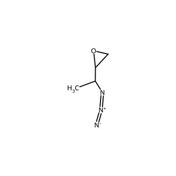 CC(N=[N+]=[N-])C1CO1